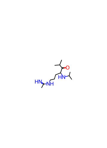 CC(=N)NCCCC(NC(C)C)C(=O)C(C)C